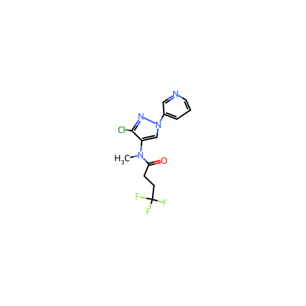 CN(C(=O)CCC(F)(F)F)c1cn(-c2cccnc2)nc1Cl